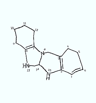 C1=CC2=C(CC1)N1C3=C(CCCC3)NC1N2